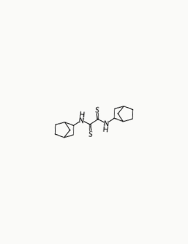 S=C(NC1CC2CCC1C2)C(=S)NC1CC2CCC1C2